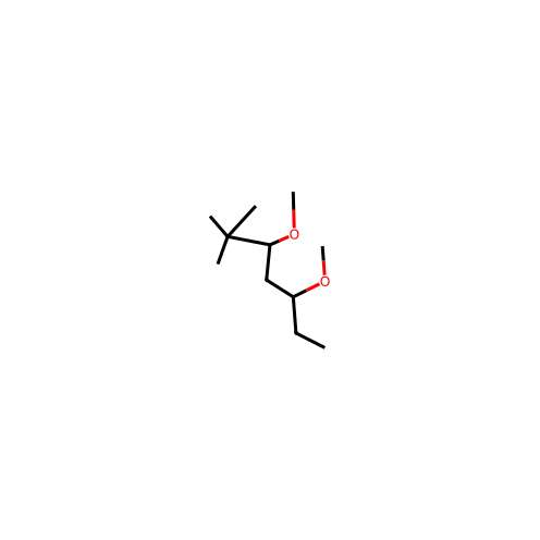 CCC(CC(OC)C(C)(C)C)OC